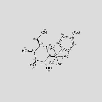 CC(=O)S(C(C)=O)(C(C)=O)(C(C)=O)(c1ccc(C(C)(C)C)cc1)[C@@H]1O[C@H](CO)[C@H](O)[C@H](O)[C@H]1O